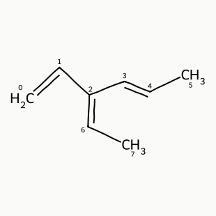 C=CC(C=CC)=CC